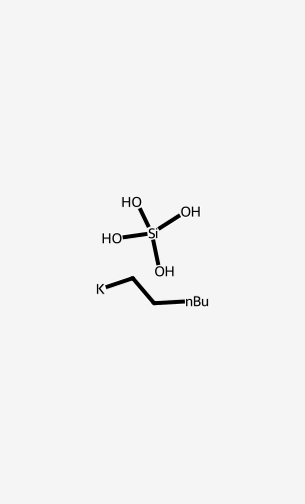 CCCCC[CH2][K].O[Si](O)(O)O